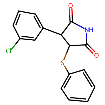 O=C1NC(=O)C(c2cccc(Cl)c2)C1Sc1ccccc1